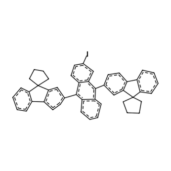 Ic1ccc2c(-c3ccc4c(c3)C3(CCCC3)c3ccccc3-4)c3ccccc3c(-c3ccc4c(c3)C3(CCCC3)c3ccccc3-4)c2c1